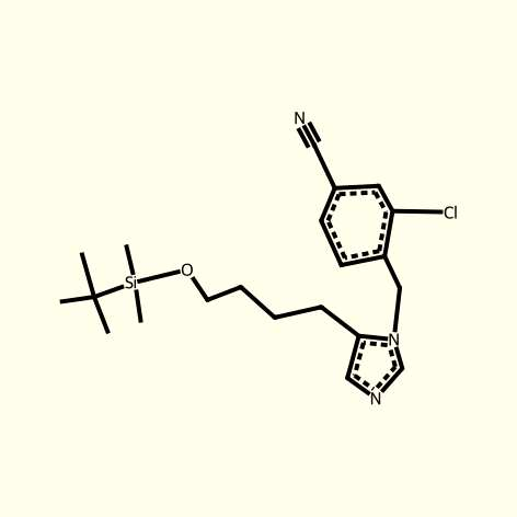 CC(C)(C)[Si](C)(C)OCCCCc1cncn1Cc1ccc(C#N)cc1Cl